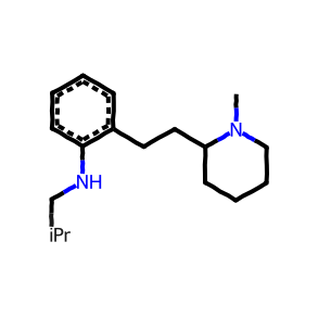 CC(C)CNc1ccccc1CCC1CCCCN1C